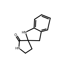 O=C1NCCC12Cc1ccccc1N2